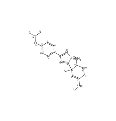 CNC1=CC(C)(c2nc(-c3ccc(OC(C)C)cn3)ns2)C(N)N=C1